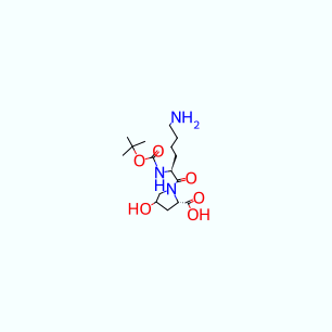 CC(C)(C)OC(=O)N[C@@H](CCCCN)C(=O)N1CC(O)C[C@H]1C(=O)O